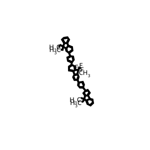 CCC1(CC)c2ccccc2-c2ccc(-c3ccc(-c4ccc5c(c4)C(C)(C(F)(F)F)c4cc(-c6ccc(-c7ccc8c(c7)C(CC)(CC)c7ccccc7-8)cc6)ccc4-5)cc3)cc21